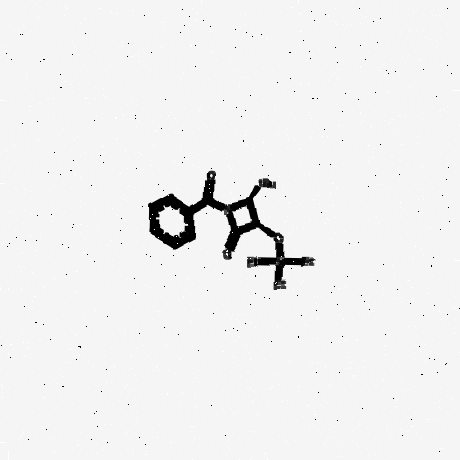 CC[Si](CC)(CC)O[C@H]1C(=O)N(C(=O)c2ccccc2)[C@H]1C(C)(C)C